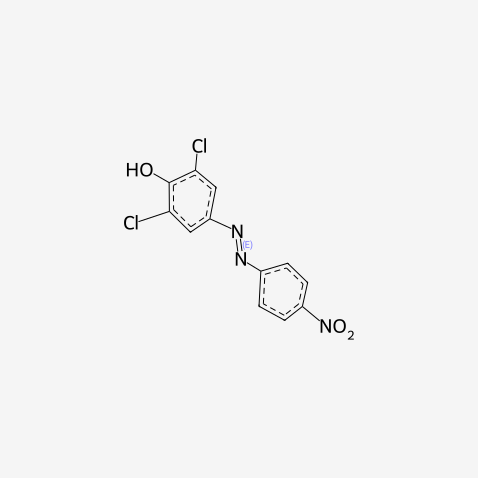 O=[N+]([O-])c1ccc(/N=N/c2cc(Cl)c(O)c(Cl)c2)cc1